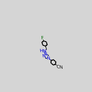 N#Cc1ccc(N2C=NN(NCc3ccc(F)cc3)C2)cc1